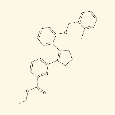 CCOC(=O)c1cccc(C2=C(c3ccccc3OCc3ccccc3C)CCC2)n1